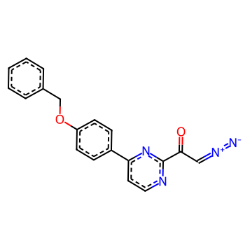 [N-]=[N+]=CC(=O)c1nccc(-c2ccc(OCc3ccccc3)cc2)n1